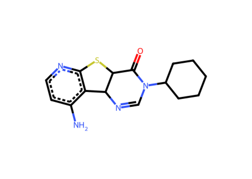 Nc1ccnc2c1C1N=CN(C3CCCCC3)C(=O)C1S2